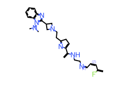 C=C(F)/C=C\C=N/CCNC(=C)C1=CCC(CCN2CC(c3nc4ccccc4n3N(C)C)C2)=N1